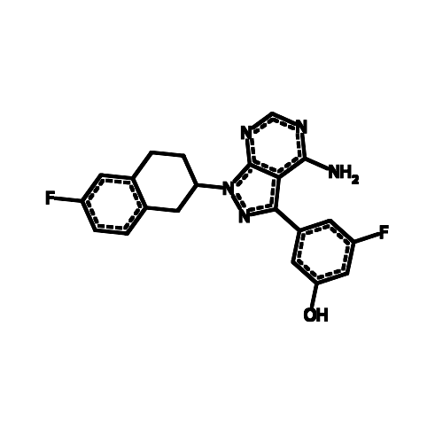 Nc1ncnc2c1c(-c1cc(O)cc(F)c1)nn2C1CCc2cc(F)ccc2C1